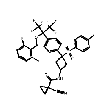 N#CC1(C(=O)NC2CC(c3ccc(C(OCc4c(F)cccc4F)(C(F)(F)F)C(F)(F)F)cc3)(S(=O)(=O)c3ccc(F)cc3)C2)CC1